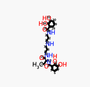 CC1OC(c2cccc(O)c2O)=N[C@@H]1C(=O)NCCCNCCCNC(=O)c1cccc(O)c1O